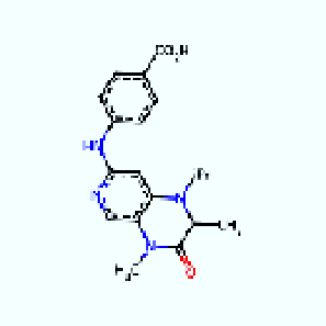 CC(C)N1c2cc(Nc3ccc(C(=O)O)cc3)ncc2N(C)C(=O)C1C